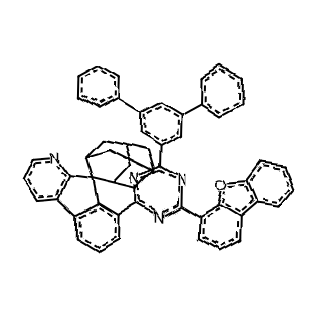 c1ccc(-c2cc(-c3ccccc3)cc(-c3nc(-c4cccc5c4C4(c6ncccc6-5)C5CC6CC(C5)CC4C6)nc(-c4cccc5c4oc4ccccc45)n3)c2)cc1